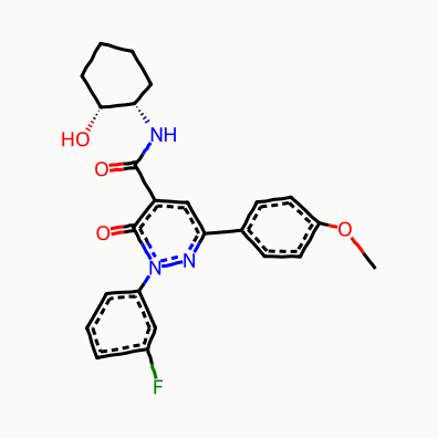 COc1ccc(-c2cc(C(=O)N[C@H]3CCCC[C@H]3O)c(=O)n(-c3cccc(F)c3)n2)cc1